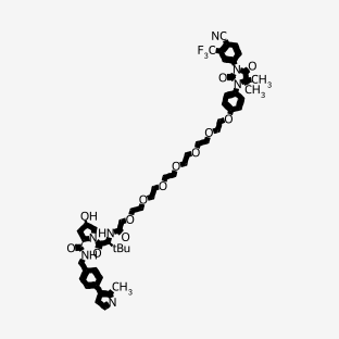 CC1=C(c2ccc(CNC(=O)[C@@H]3C[C@@H](O)CN3C(=O)[C@@H](NC(=O)COCCOCCOCCOCCOCCOCCOc3ccc(N4C(=O)N(c5ccc(C#N)c(C(F)(F)F)c5)C(=O)C4(C)C)cc3)C(C)(C)C)cc2)CC=N1